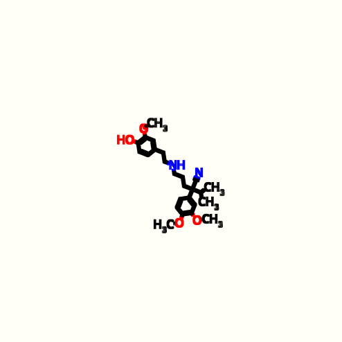 COc1cc(CCNCCCC(C#N)(c2ccc(OC)c(OC)c2)C(C)C)ccc1O